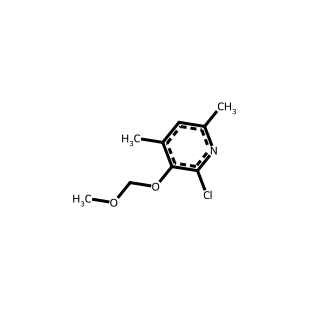 COCOc1c(C)cc(C)nc1Cl